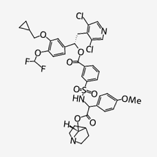 COc1ccc(C(NS(=O)(=O)c2cccc(C(=O)O[C@@H](Cc3c(Cl)cncc3Cl)c3ccc(OC(F)F)c(OCC4CC4)c3)c2)C(=O)O[C@H]2CN3CCC2CC3)cc1